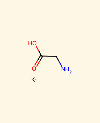 NCC(=O)O.[K]